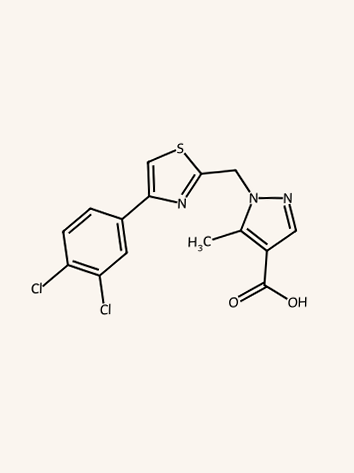 Cc1c(C(=O)O)cnn1Cc1nc(-c2ccc(Cl)c(Cl)c2)cs1